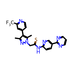 Cc1nn(CC(=S)Nc2ccc(-c3ncccn3)cn2)c(C)c1-c1ccnc(C(F)(F)F)c1